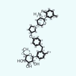 CS[C@H]1O[C@@H](c2ccc(F)c(Cc3ccc(O[C@@H]4CCN([C@H]5CO[C@H](c6cc(F)ccc6F)[C@@H](N)C5)C4)cc3)c2)[C@H](O)[C@@H](O)[C@@H]1O